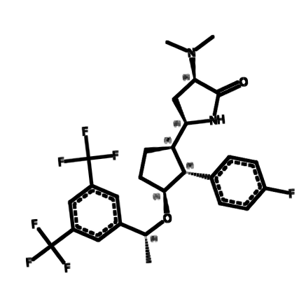 C[C@@H](O[C@H]1CC[C@@H]([C@H]2C[C@@H](N(C)C)C(=O)N2)[C@@H]1c1ccc(F)cc1)c1cc(C(F)(F)F)cc(C(F)(F)F)c1